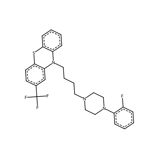 Fc1ccccc1N1CCN(CCCCN2c3ccccc3Sc3ccc(C(F)(F)F)cc32)CC1